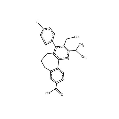 CC(C)c1nc2c(c(-c3ccc(F)cc3)c1CO)CCCc1cc(C(=O)O)ccc1-2